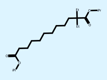 CCC(CC)(CCCCCCCCCC(=O)OC(C)C)C(=O)OC(C)C